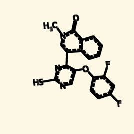 Cn1cc(-c2nc(S)ncc2Oc2ccc(F)cc2F)c2ccccc2c1=O